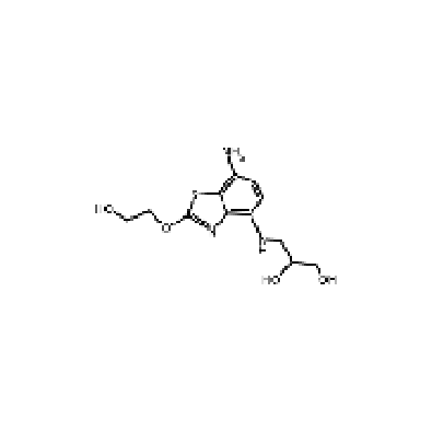 Nc1ccc(NCC(O)CO)c2nc(OCCO)sc12